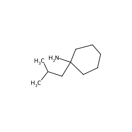 CC(C)CC1(N)CCCCC1